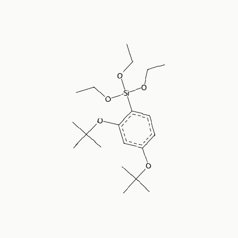 CCO[Si](OCC)(OCC)c1ccc(OC(C)(C)C)cc1OC(C)(C)C